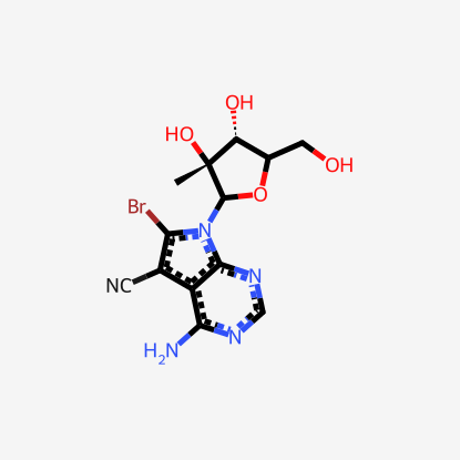 C[C@]1(O)C(n2c(Br)c(C#N)c3c(N)ncnc32)OC(CO)[C@H]1O